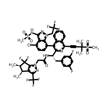 C[C@@H]1c2c(C(F)(F)F)nn(CC(=O)N[C@@H](Cc3cc(F)cc(F)c3)c3nc(C#CC(C)(C)S(C)(=O)=O)c4ccccc4c3-c3ccc(Cl)c4c(NS(C)(=O)=O)nn(CC(F)(F)F)c34)c2C(F)(F)[C@@H]1C